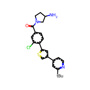 CC(C)(C)c1cc(-c2csc(-c3ccc(C(=O)N4CCC(N)C4)cc3Cl)c2)ccn1